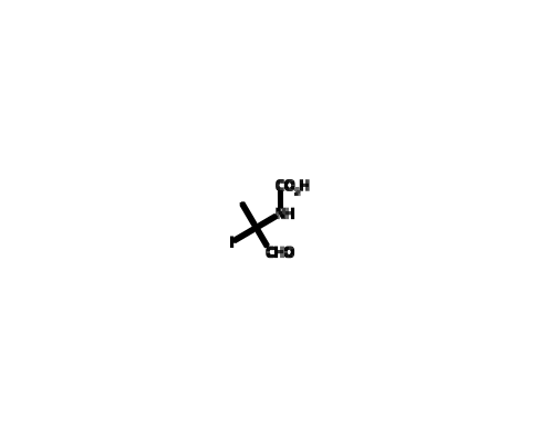 CC(I)(C=O)NC(=O)O